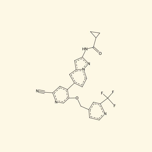 N#Cc1cc(-c2ccn3nc(NC(=O)C4CC4)cc3c2)c(OCc2ccnc(C(F)(F)F)c2)cn1